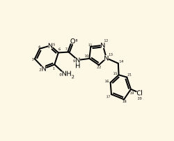 Nc1nccnc1C(=O)Nc1cnn(Cc2cccc(Cl)c2)c1